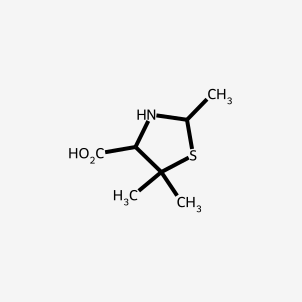 CC1NC(C(=O)O)C(C)(C)S1